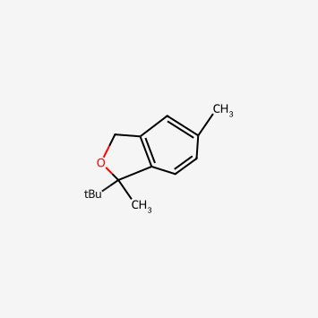 Cc1ccc2c(c1)COC2(C)C(C)(C)C